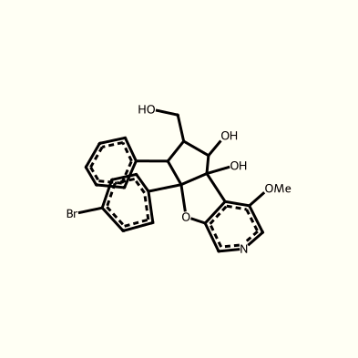 COc1cncc2c1C1(O)C(O)C(CO)C(c3ccccc3)C1(c1ccc(Br)cc1)O2